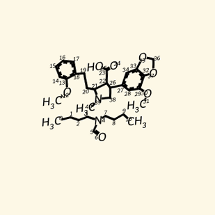 CCCCN(C=O)CCCC.COc1ccccc1CCC1C(C(=O)O)C(c2cc(OC)c3c(c2)OCO3)CN1C